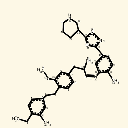 CCc1ccc(CCc2ccc(CC(C)/C=N\c3cc(-c4nnc(C5CCCNC5)o4)ccc3C)cc2OC)cc1C